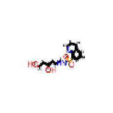 O=S(=O)(NCCCC(O)CCO)c1cccc2cccnc12